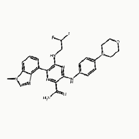 Cn1cnc2c(-c3nc(C(N)=O)c(Nc4ccc(N5CCOCC5)cc4)nc3NCC(F)F)cccc21